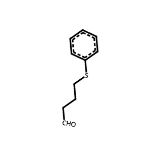 O=CCCCSc1ccccc1